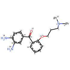 CC(C)N(CCCOc1ccccc1C(=O)c1ccc(N)c(N)c1)C(C)C